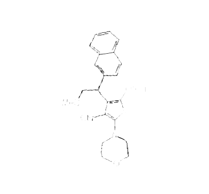 [C-]#[N+]c1c(N2CCOCC2)sc(C(=O)O)c1C(COC)c1ccc2ccccc2c1